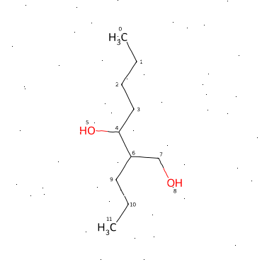 CCCCC(O)C(CO)CCC